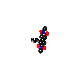 CCc1cc2c3c(ccc4c5ccc6c7c(ccc(c1c34)c75)C(=O)N(c1ccccc1)C6=O)C(=O)N(c1ccccc1)C2=O